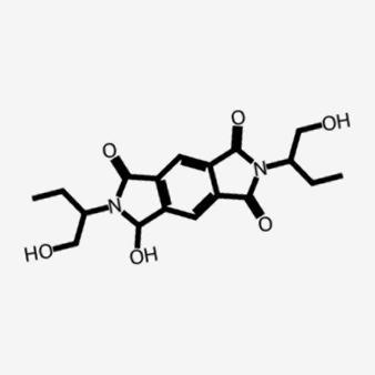 CCC(CO)N1C(=O)c2cc3c(cc2C1=O)C(O)N(C(CC)CO)C3=O